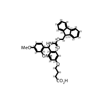 COc1ccc(C(NC(=O)OCC2c3ccccc3-c3ccccc32)c2ccc(OCCCC(=O)O)cc2)c(OC)c1